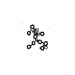 c1ccc(-c2ccc(N(c3ccc(-c4cccc5oc6ccccc6c45)cc3)c3ccc4c(c3)n(-c3ccccc3)c3nc5c6ccccc6n(-c6ccccc6)c5n43)cc2)cc1